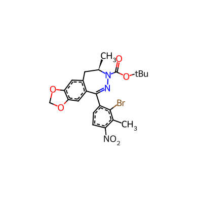 Cc1c([N+](=O)[O-])ccc(C2=NN(C(=O)OC(C)(C)C)[C@H](C)Cc3cc4c(cc32)OCO4)c1Br